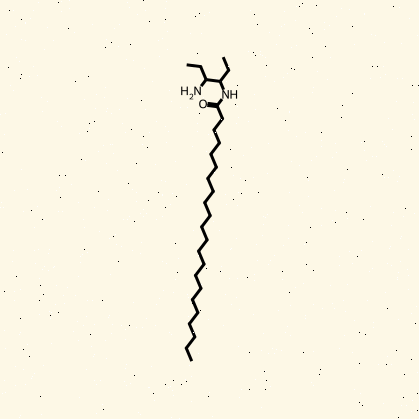 CCCCCCCCCCCCCCCCCCCCCC(=O)NC(CC)C(N)CC